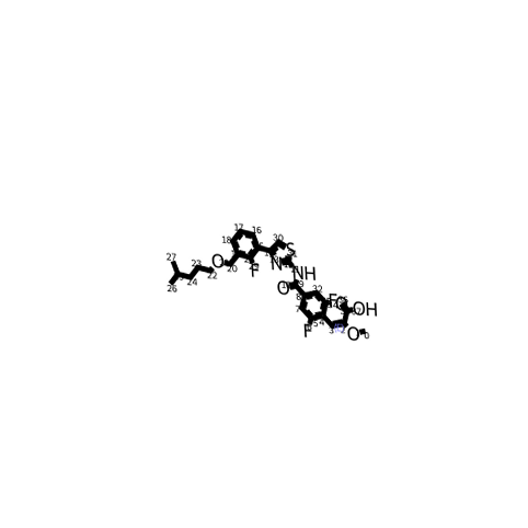 CO/C(=C/c1c(F)cc(C(=O)Nc2nc(-c3cccc(COCCCC(C)C)c3F)cs2)cc1F)C(=O)O